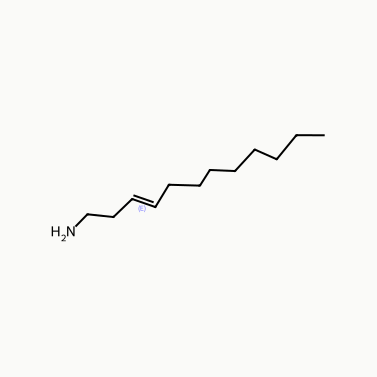 CCCCCCCC/C=C/CCN